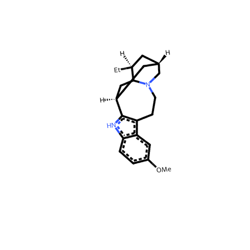 CC[C@H]1C[C@H]2C[C@@H]3CC1N(CCc1c3[nH]c3ccc(OC)cc13)C2